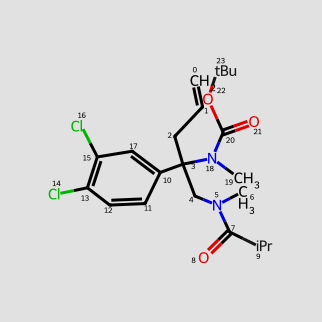 C=CCC(CN(C)C(=O)C(C)C)(c1ccc(Cl)c(Cl)c1)N(C)C(=O)OC(C)(C)C